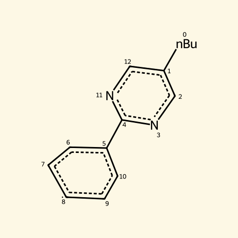 CCCCc1cnc(-c2cc[c]cc2)nc1